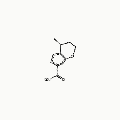 C[C@H]1CCOc2cc(C(=O)C(C)(C)C)ccc21